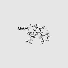 CO[C@H]1CC[C@]2(CC1)NC(=O)C(c1cc(C)ccc1C)=C2OC(=O)C1CC1